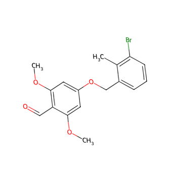 COc1cc(OCc2cccc(Br)c2C)cc(OC)c1C=O